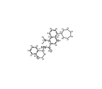 CN(C)c1c(C(=O)NC2CCOc3ccccc32)cnc2c(C3CCCCCC3)cccc12